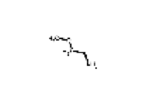 CO[SiH2]CN